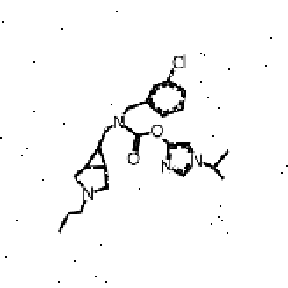 CCCN1CC2C(C1)C2CN(Cc1cccc(Cl)c1)C(=O)Oc1cn(C(C)C)cn1